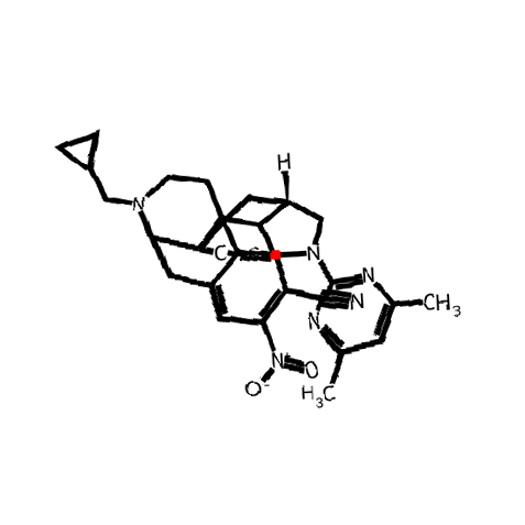 Cc1cc(C)nc(N2C[C@H]3CC45CCC2C3C42CCN(CC3CC3)C5Cc3cc([N+](=O)[O-])c(C#N)cc32)n1